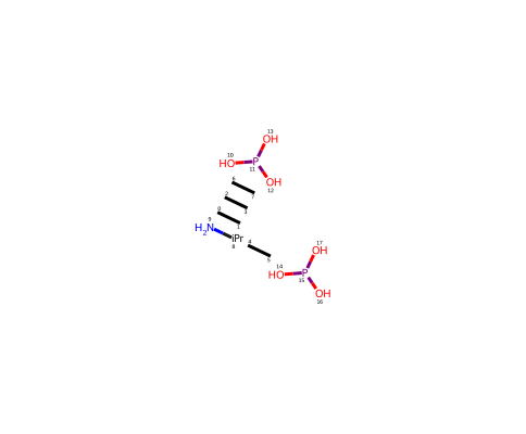 CC.CC.CC.CC.CC(C)N.OP(O)O.OP(O)O